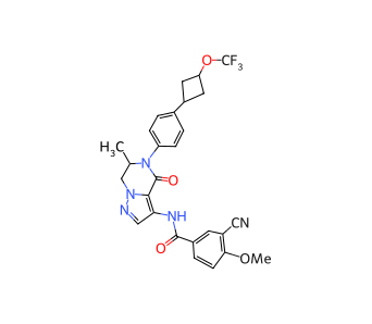 COc1ccc(C(=O)Nc2cnn3c2C(=O)N(c2ccc(C4CC(OC(F)(F)F)C4)cc2)C(C)C3)cc1C#N